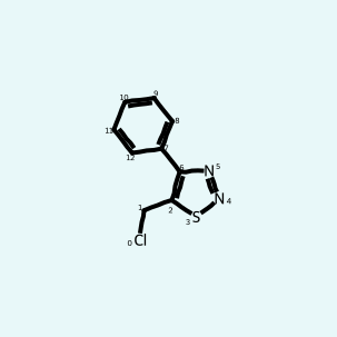 ClCc1snnc1-c1ccccc1